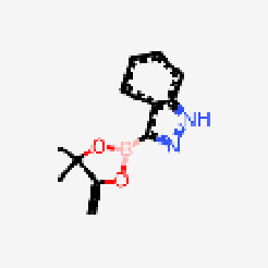 C=C1OB(c2n[nH]c3ccccc23)OC1(C)C